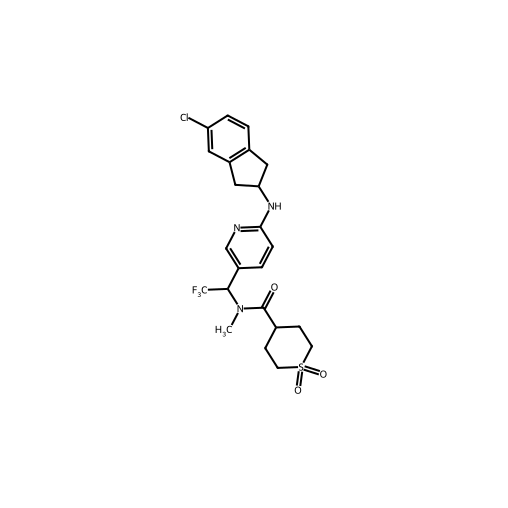 CN(C(=O)C1CCS(=O)(=O)CC1)C(c1ccc(NC2Cc3ccc(Cl)cc3C2)nc1)C(F)(F)F